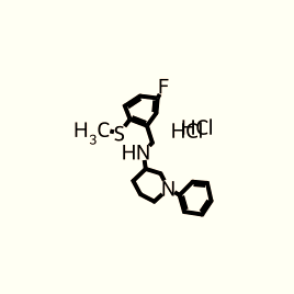 CSc1ccc(F)cc1CNC1CCCN(c2ccccc2)C1.Cl.Cl